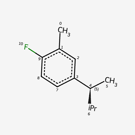 Cc1cc([C@@H](C)C(C)C)ccc1F